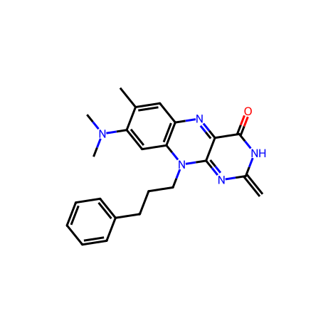 C=c1nc2c(c(=O)[nH]1)=Nc1cc(C)c(N(C)C)cc1N2CCCc1ccccc1